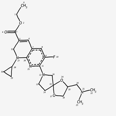 CCOC(=O)C1=Cc2cc(F)c(N3CCC4(C3)OCC(CN(C)C)O4)nc2N(C2CC2)C1